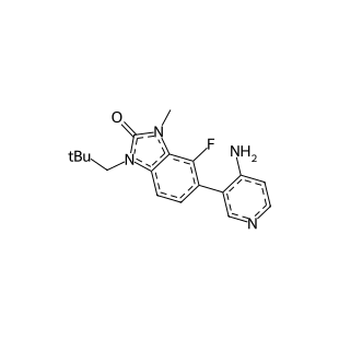 Cn1c(=O)n(CC(C)(C)C)c2ccc(-c3cnccc3N)c(F)c21